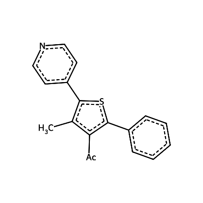 CC(=O)c1c(-c2ccccc2)sc(-c2ccncc2)c1C